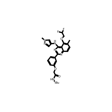 Cc1ccc2nc(-c3cccc(OCC(=O)NC(C)(C)C)c3)nc(Nc3cnn(C)c3)c2c1OCC(F)F